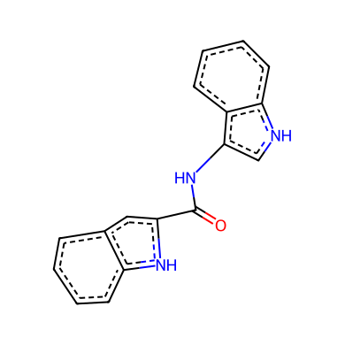 O=C(Nc1c[nH]c2ccccc12)c1cc2ccccc2[nH]1